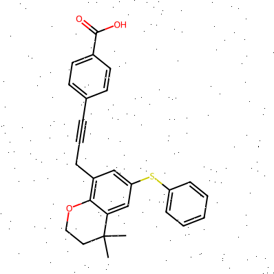 CC1(C)CCOc2c(CC#Cc3ccc(C(=O)O)cc3)cc(Sc3ccccc3)cc21